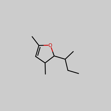 CCC(C)C1OC(C)=CC1C